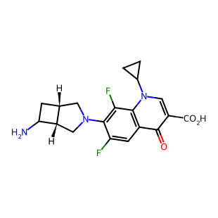 NC1C[C@@H]2CN(c3c(F)cc4c(=O)c(C(=O)O)cn(C5CC5)c4c3F)C[C@H]12